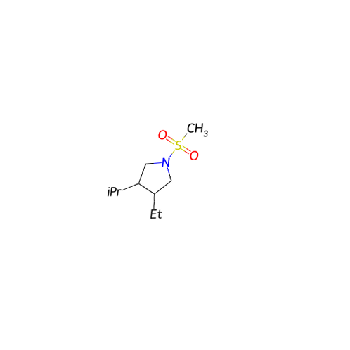 CCC1CN(S(C)(=O)=O)CC1C(C)C